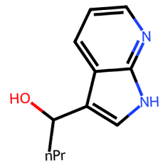 CCCC(O)c1c[nH]c2ncccc12